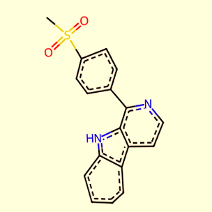 CS(=O)(=O)c1ccc(-c2nccc3c2[nH]c2ccccc23)cc1